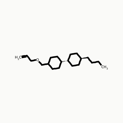 C=CCOCC1CCC([C@H]2CC[C@H](CCCC)CC2)CC1